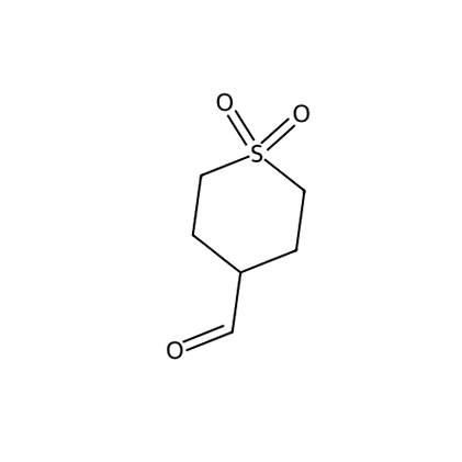 O=CC1CCS(=O)(=O)CC1